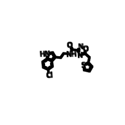 O=C(NCCc1c[nH]c2ccc(Cl)cc12)c1noc(Cc2cccs2)n1